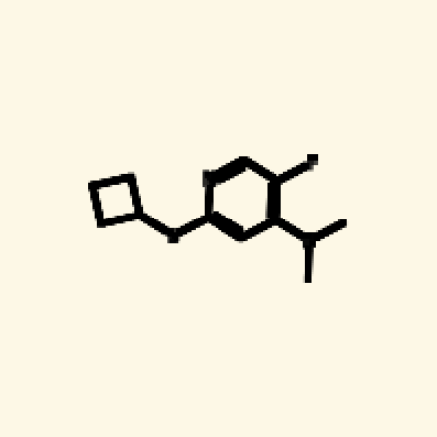 CB(C)c1cc(SC2CCC2)ncc1F